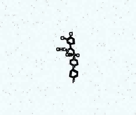 O=CN(O)C(CS(=O)(=O)N1CCN(c2ccc(F)cc2)CC1)c1ccc(Cl)c(Cl)c1